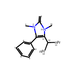 C=C1N(C)C(c2ccccc2)=C(C(CCC)CCC)N1C